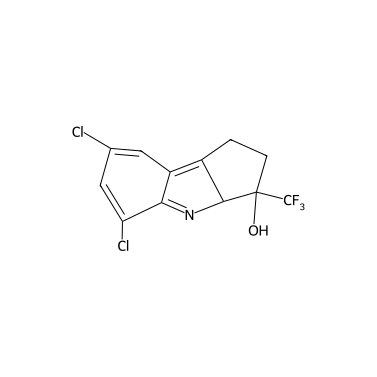 OC1(C(F)(F)F)CCC2=c3cc(Cl)cc(Cl)c3=NC21